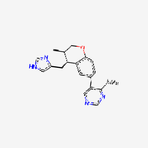 CNc1ncncc1-c1ccc2c(c1)[C@@H](Cc1c[nH]cn1)[C@@H](C)CO2